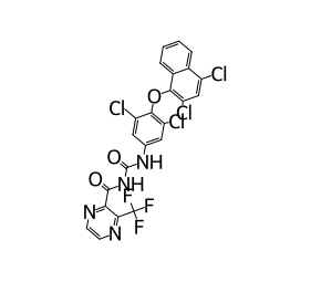 O=C(NC(=O)c1nccnc1C(F)(F)F)Nc1cc(Cl)c(Oc2c(Cl)cc(Cl)c3ccccc23)c(Cl)c1